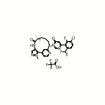 C[C@@H]1CCC[C@H](n2cnc(-c3c(C(F)F)ccc(Cl)c3F)cc2=O)c2cc(ccn2)-c2c(cnn2C)NC1=O.O=C(O)C(F)(F)F